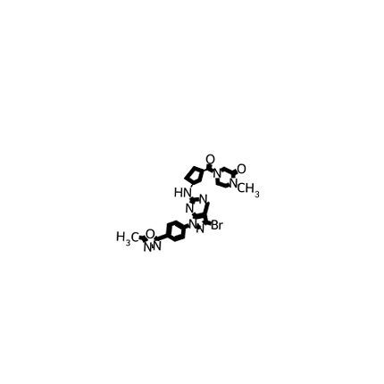 Cc1nnc(-c2ccc(-n3nc(Br)c4cnc(N[C@@H]5CC[C@@H](C(=O)N6CCN(C)C(=O)C6)C5)nc43)cc2)o1